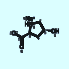 O=C([O-])[C@@H]1C[C@@H](O)CN1.[Na+]